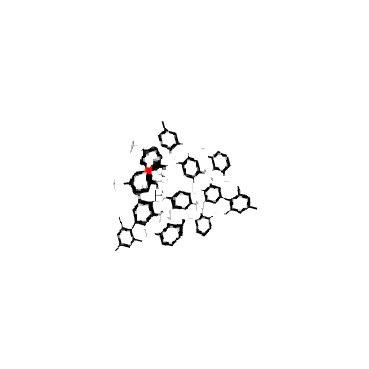 Cc1cc(C)c(-c2cc3c4c(c2)N(c2c(F)cccc2F)c2cc5c(cc2B4c2sc4ccc(F)cc4c2O3)B2c3cc4c(cc3N(c3c(F)cccc3F)c3cc(-c6c(C)cc(C)cc6C)cc(c32)N5c2c(F)cccc2F)Oc2cc(C)cc3c2B4c2sc4ccc(F)cc4c2O3)c(C)c1